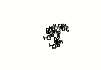 C[Si](C)(C)CCOCN=CC(=O)NS(=O)(=O)c1cccc(I)c1.NC(=O)C(N)S(=O)(=O)c1cccc(I)c1